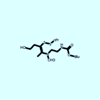 CCCSSC(CCO)=C(C)N(C=O)CCNC(=O)OC(C)(C)C